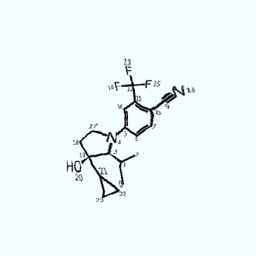 CC(C)[C@@H]1N(c2ccc(C#N)c(C(F)(F)F)c2)CC[C@@]1(O)C1CC1